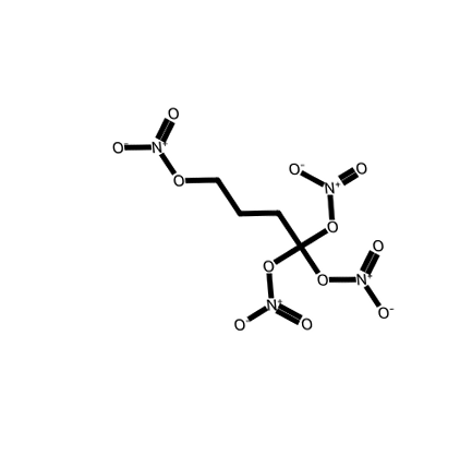 O=[N+]([O-])OCCCC(O[N+](=O)[O-])(O[N+](=O)[O-])O[N+](=O)[O-]